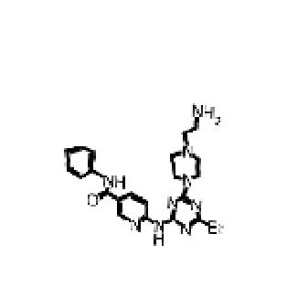 CCc1nc(Nc2ccc(C(=O)Nc3ccccc3)cn2)nc(N2CCN(CCN)CC2)n1